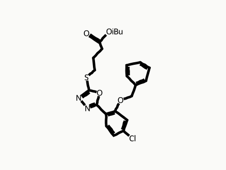 CC(C)COC(=O)CCCSc1nnc(-c2ccc(Cl)cc2OCc2ccccc2)o1